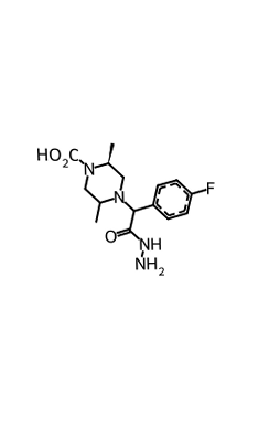 CC1CN(C(=O)O)[C@@H](C)CN1C(C(=O)NN)c1ccc(F)cc1